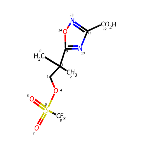 CC(C)(COS(=O)(=O)C(F)(F)F)c1nc(C(=O)O)no1